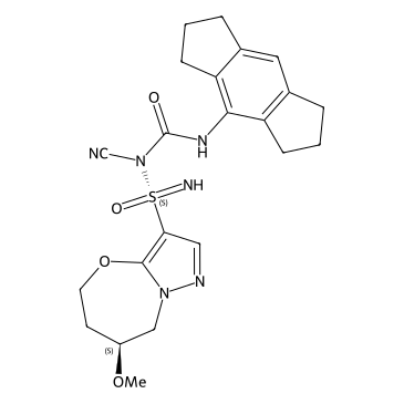 CO[C@H]1CCOc2c([S@](=N)(=O)N(C#N)C(=O)Nc3c4c(cc5c3CCC5)CCC4)cnn2C1